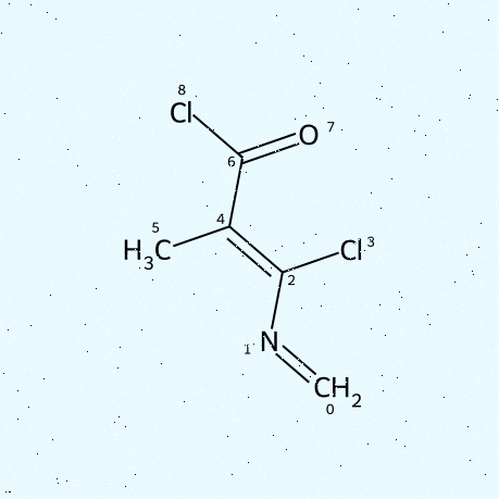 C=N/C(Cl)=C(\C)C(=O)Cl